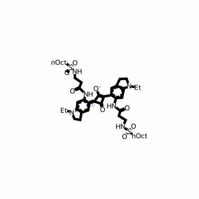 CCCCCCCCS(=O)(=O)NCCC(=O)Nc1cc2c(cc1C1=C([O-])/C(=c3/cc4c(cc3NC(=O)CCNS(=O)(=O)CCCCCCCC)=[N+](CC)CC4)C1=O)CCN2CC